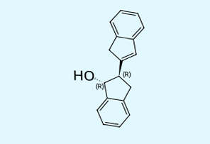 O[C@H]1c2ccccc2C[C@@H]1C1=Cc2ccccc2C1